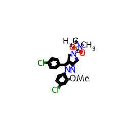 COc1cc(Cl)ccc1-n1nc2c(c1-c1ccc(Cl)cc1)CN(S(=O)(=O)N(C)C)C2